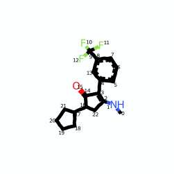 CNC1=C(c2cccc(C(F)(F)F)c2)C(=O)C(C2CCCC2)C1